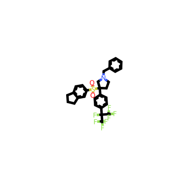 O=S(=O)(c1ccc2c(c1)CCC2)C1(c2ccc(C(F)(C(F)(F)F)C(F)(F)F)cc2)CCN(Cc2ccccc2)C1